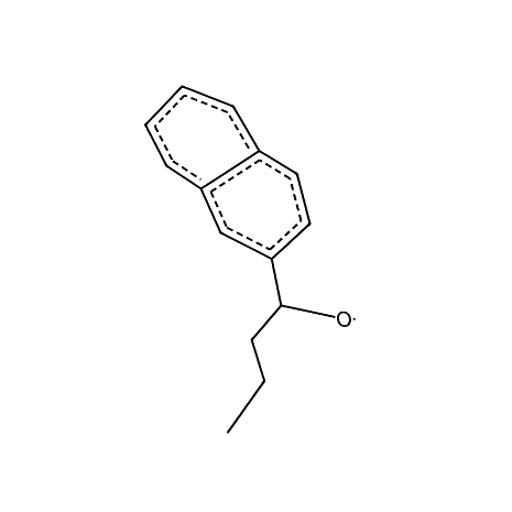 CCCC([O])c1ccc2ccccc2c1